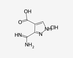 Cl.N=C(N)c1n[nH]cc1C(=O)O